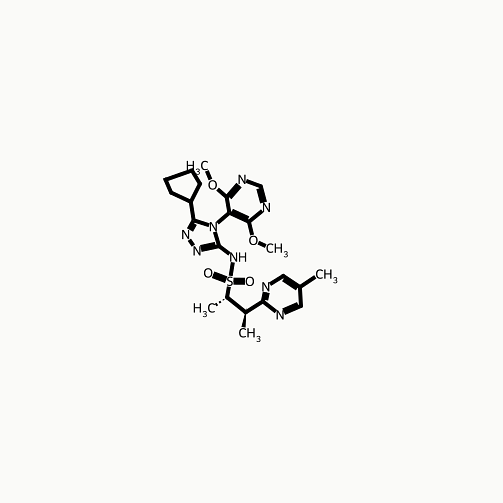 COc1ncnc(OC)c1-n1c(NS(=O)(=O)[C@@H](C)[C@H](C)c2ncc(C)cn2)nnc1C1CCCC1